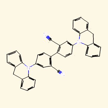 N#Cc1cc(N2c3ccccc3Cc3ccccc32)ccc1-c1ccc(N2c3ccccc3Cc3ccccc32)cc1C#N